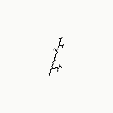 CCCCC(CCCCCCCCC(=O)OCC(CCC(C)C)C(C)C)CCNC(C)C